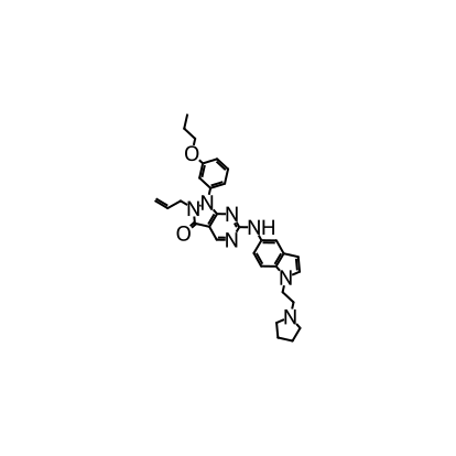 C=CCn1c(=O)c2cnc(Nc3ccc4c(ccn4CCN4CCCC4)c3)nc2n1-c1cccc(OCCC)c1